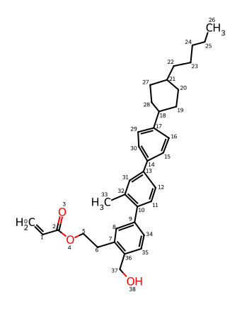 C=CC(=O)OCCc1cc(-c2ccc(-c3ccc(C4CCC(CCCCC)CC4)cc3)cc2C)ccc1CO